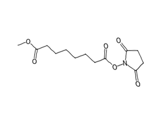 COC(=O)CCCCCCC(=O)ON1C(=O)CCC1=O